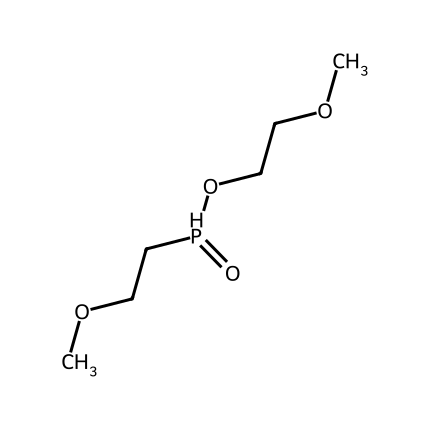 COCCO[PH](=O)CCOC